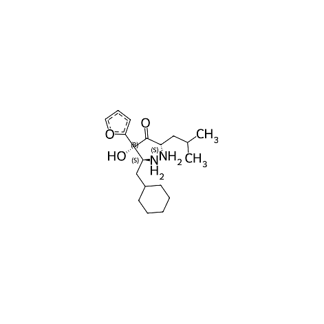 CC(C)C[C@H](N)C(=O)[C@](O)(c1ccco1)[C@@H](N)CC1CCCCC1